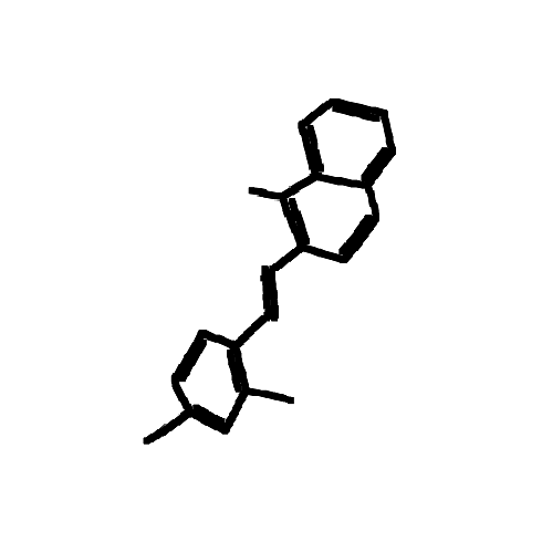 Cc1ccc(/N=N/c2ccc3ccccc3c2C)c(C)c1